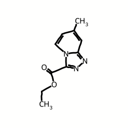 CCOC(=O)c1nnc2cc(C)ccn12